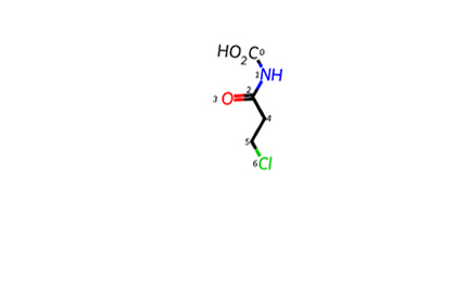 O=C(O)NC(=O)CCCl